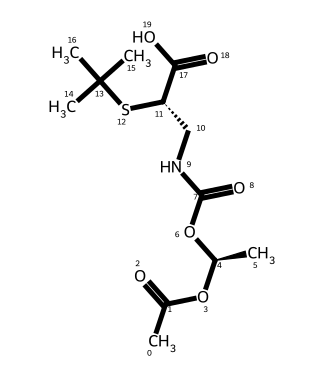 CC(=O)O[C@H](C)OC(=O)NC[C@H](SC(C)(C)C)C(=O)O